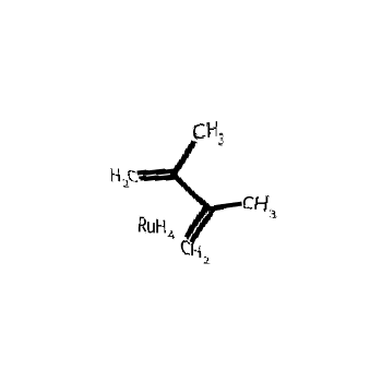 C=C(C)C(=C)C.[RuH4]